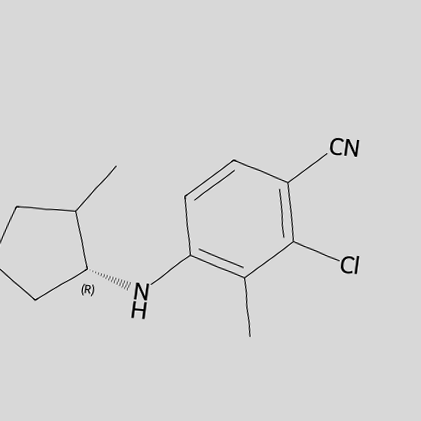 Cc1c(N[C@@H]2CCCC2C)ccc(C#N)c1Cl